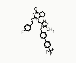 Cc1nnc(Cn2c(SCc3ccc(F)cc3)nc(=O)c3c2CCC3)n1Cc1ccc(-c2ccc(C(F)(F)F)cc2)cc1